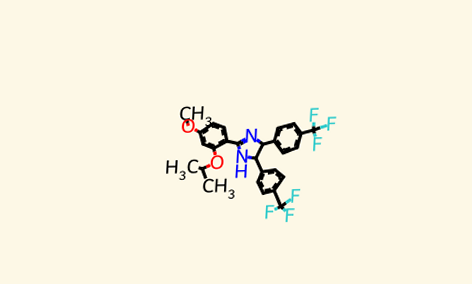 COc1ccc(C2=NC(c3ccc(C(F)(F)F)cc3)C(c3ccc(C(F)(F)F)cc3)N2)c(OC(C)C)c1